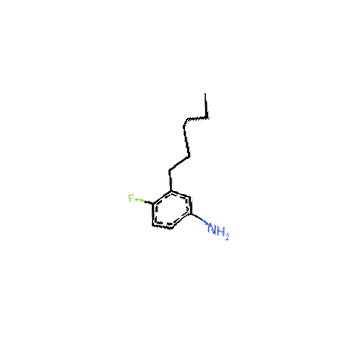 CCCCCc1cc(N)ccc1F